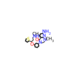 CNCCC(Oc1cccc(N2CCN(C)c3nc(N)ccc3C2=O)c1)c1cccs1